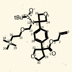 C=CCOC(=O)C1(c2ccc(C3(N(COCC[Si](C)(C)C)[S+]([O-])C(C)(C)C)COC3)cc2)CCOC1